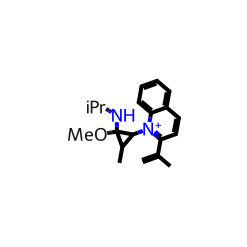 C=C(C)c1ccc2ccccc2[n+]1C1C(C)C1(NC(C)C)OC